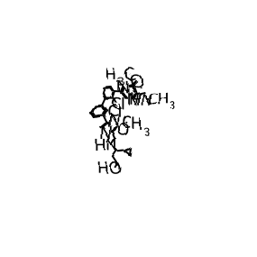 CNCc1ncc(-c2cccc(-c3cccc(-c4cnc(CNC(CCO)C5CC5)c(OC)n4)c3Cl)c2Cl)nc1OC